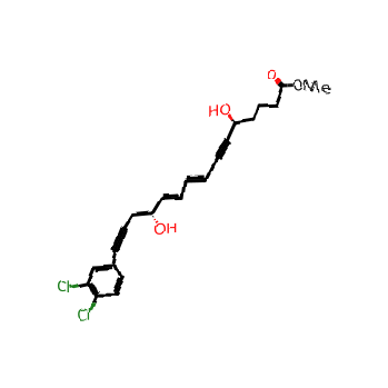 COC(=O)CCC[C@H](O)C#C/C=C/C=C/[C@H](O)CC#Cc1ccc(Cl)c(Cl)c1